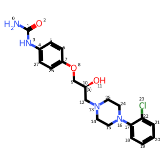 NC(=O)Nc1ccc(OC[C@@H](O)CN2CCN(c3ccccc3Cl)CC2)cc1